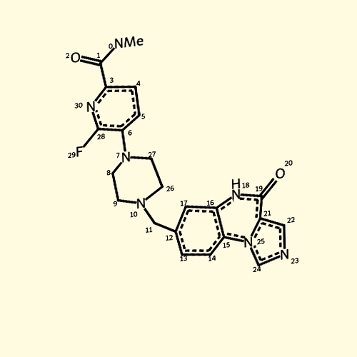 CNC(=O)c1ccc(N2CCN(Cc3ccc4c(c3)[nH]c(=O)c3cncn34)CC2)c(F)n1